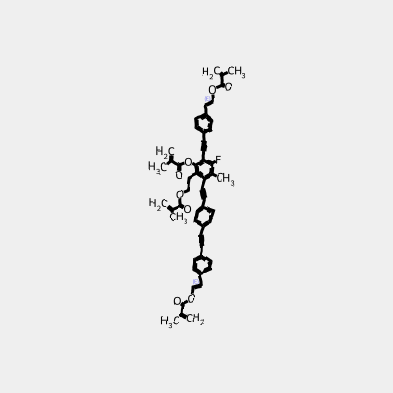 C=C(C)C(=O)O/C=C/c1ccc(C#Cc2ccc(C#Cc3c(C)c(F)c(C#Cc4ccc(/C=C/OC(=O)C(=C)C)cc4)c(OC(=O)C(=C)C)c3CCOC(=O)C(=C)C)cc2)cc1